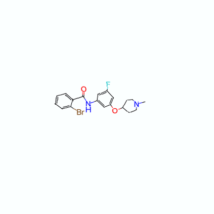 CN1CCC(Oc2cc(F)cc(NC(=O)c3ccccc3Br)c2)CC1